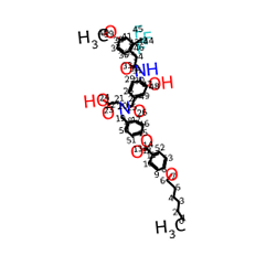 CCCCCCCOc1ccc(C(=O)Oc2ccc(CN(CC(=O)O)C(=O)c3ccc(NC(=O)Cc4ccc(OC)cc4C(F)(F)F)c(O)c3)cc2)cc1